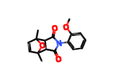 COc1ccccc1N1C(=O)C2C(C1=O)C1(C)C=CC2(C)O1